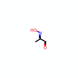 C/C([C]=O)=N\O